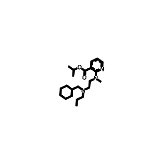 CCCN(CCN(C)c1ncccc1C(=O)OC(C)C)CC1CCCCC1